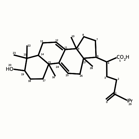 C=C(CCC(C(=O)O)C1CCC2(C)C3=CCC4C(C)(CCC(O)C4(C)C)C3=CCC12C)C(C)C